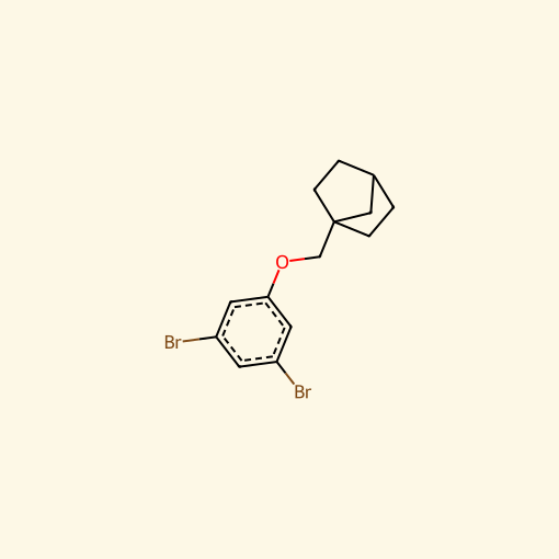 Brc1cc(Br)cc(OCC23CCC(CC2)C3)c1